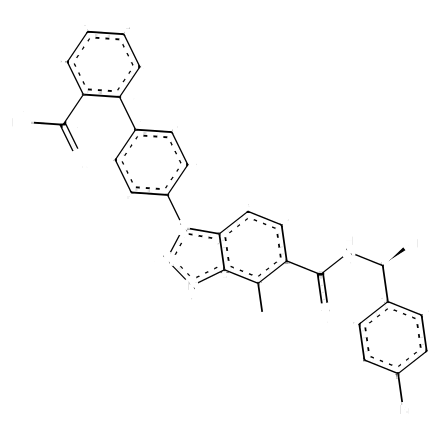 Cc1c(C(=O)N[C@@H](C)c2ccc(Br)cc2)ccc2c1nnn2-c1ccc(-c2ccccc2C(=O)O)cc1